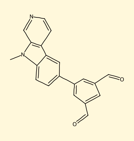 Cn1c2ccc(-c3cc(C=O)cc(C=O)c3)cc2c2ccncc21